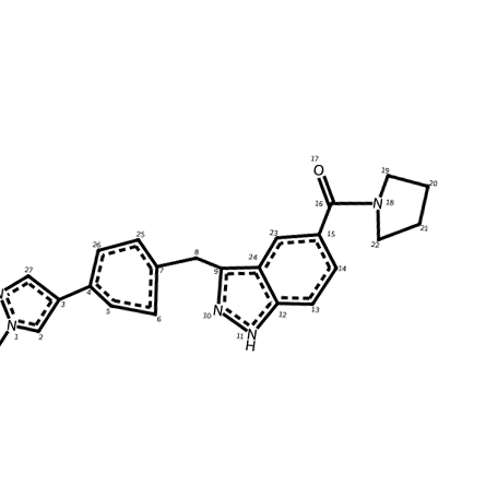 Cn1cc(-c2ccc(Cc3n[nH]c4ccc(C(=O)N5CCCC5)cc34)cc2)cn1